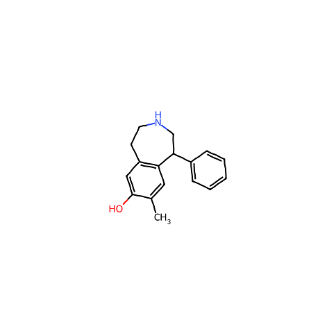 Cc1cc2c(cc1O)CCNCC2c1ccccc1